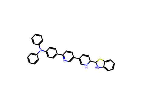 C1=CC(C2Nc3ccccc3S2)NC=C1c1ccc(-c2ccc(N(c3ccccc3)c3ccccc3)cc2)nc1